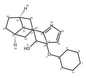 OC(COC1CCCCC1)CN1[C@@H]2CC[C@H]1CN(c1nccs1)C2